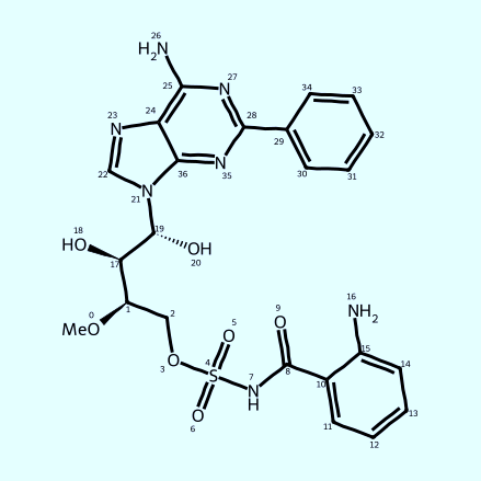 CO[C@H](COS(=O)(=O)NC(=O)c1ccccc1N)[C@@H](O)[C@@H](O)n1cnc2c(N)nc(-c3ccccc3)nc21